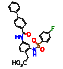 O=C(O)Cc1ccc(NC(=O)c2ccc(-c3ccccc3)cc2)cc1NS(=O)(=O)c1ccc(F)cc1